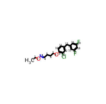 CCON=CCCCOc1ccc(Cc2cc(F)cc(F)c2)cc1Cl